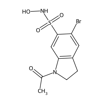 CC(=O)N1CCc2cc(Br)c(S(=O)(=O)NO)cc21